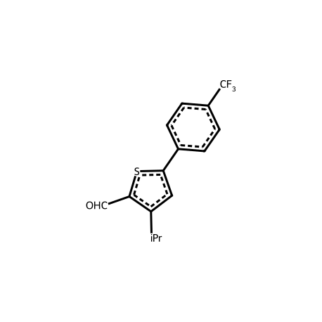 CC(C)c1cc(-c2ccc(C(F)(F)F)cc2)sc1C=O